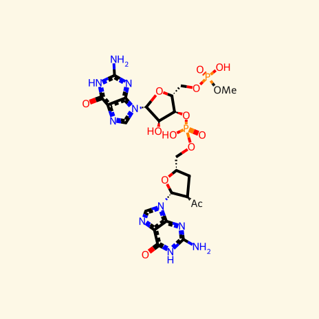 COP(=O)(O)OC[C@H]1O[C@@H](n2cnc3c(=O)[nH]c(N)nc32)[C@H](O)[C@@H]1OP(=O)(O)OC[C@@H]1C[C@@H](C(C)=O)[C@H](n2cnc3c(=O)[nH]c(N)nc32)O1